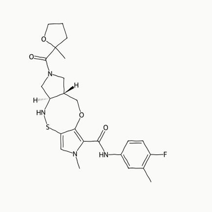 Cc1cc(NC(=O)c2c3c(cn2C)SN[C@H]2CN(C(=O)C4(C)CCCO4)C[C@@H]2CO3)ccc1F